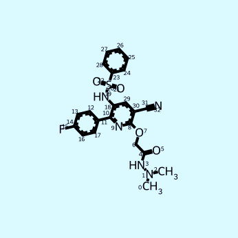 CN(C)NC(=O)COc1nc(-c2ccc(F)cc2)c(NS(=O)(=O)c2ccccc2)cc1C#N